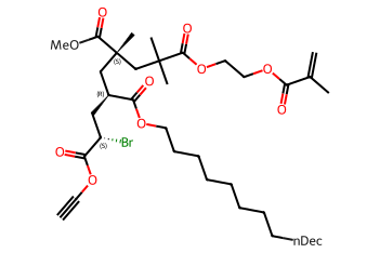 C#COC(=O)[C@@H](Br)C[C@@H](C[C@@](C)(CC(C)(C)C(=O)OCCOC(=O)C(=C)C)C(=O)OC)C(=O)OCCCCCCCCCCCCCCCCCC